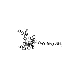 CCOc1ccc(C(=O)N2CCN(c3ccc(-c4ccccc4OCC)nc3CN(CCN(CCCOCCOCCOCCOCCN)S(=O)(=O)c3ccccc3[N+](=O)[O-])S(=O)(=O)c3ccccc3[N+](=O)[O-])[C@H](CC)C2)c(C(F)(F)F)c1